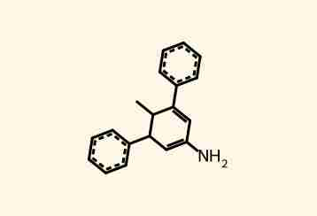 CC1C(c2ccccc2)=CC(N)=CC1c1ccccc1